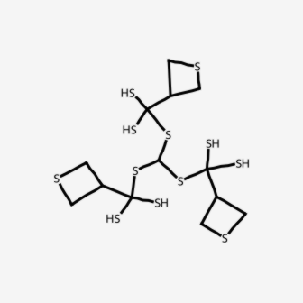 SC(S)(SC(SC(S)(S)C1CSC1)SC(S)(S)C1CSC1)C1CSC1